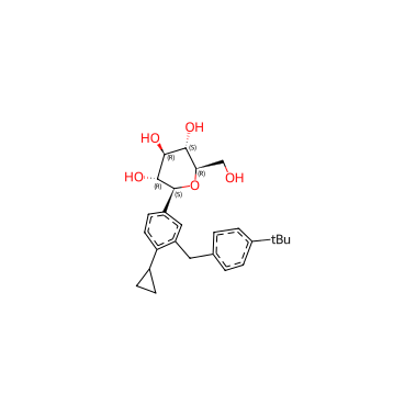 CC(C)(C)c1ccc(Cc2cc([C@@H]3O[C@H](CO)[C@@H](O)[C@H](O)[C@H]3O)ccc2C2CC2)cc1